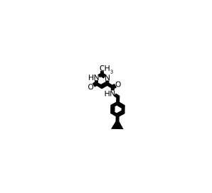 Cc1nc(C(=O)NCc2ccc(C3CC3)cc2)cc(=O)[nH]1